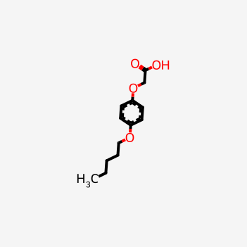 CCCCCOc1ccc(OCC(=O)O)cc1